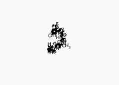 Cc1c(C(C)n2cc(NC(=O)c3cncc(-c4c(OC(F)F)ccc(Cl)c4F)n3)cn2)cnc(N2C[C@H]3CC[C@H]3C2=O)c1C